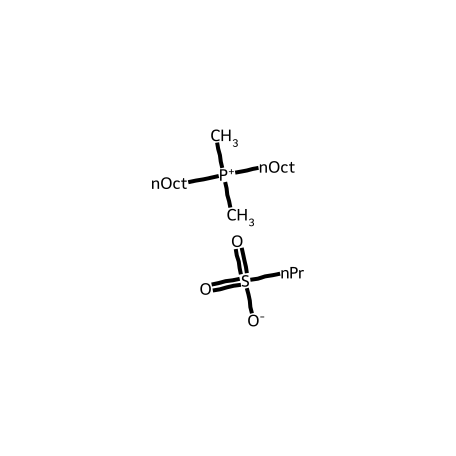 CCCCCCCC[P+](C)(C)CCCCCCCC.CCCS(=O)(=O)[O-]